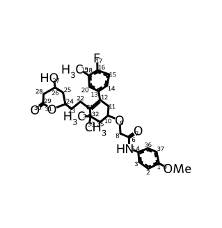 COc1ccc(NC(=O)COC2CC(c3ccc(F)c(C)c3)=C(CCC3CC(O)CC(=O)O3)C(C)(C)C2)cc1